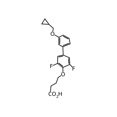 O=C(O)CCCOc1c(F)cc(-c2cccc(OCC3CC3)c2)cc1F